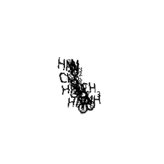 Cc1cc2[nH]c(=O)c(=O)[nH]c2cc1S(=O)(=O)Nc1ccc(-c2ccc3nc[nH]c3c2)c(Cl)c1